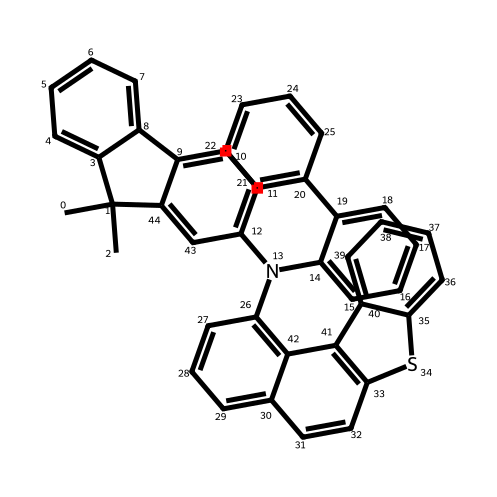 CC1(C)c2ccccc2-c2ccc(N(c3ccccc3-c3ccccc3)c3cccc4ccc5sc6ccccc6c5c34)cc21